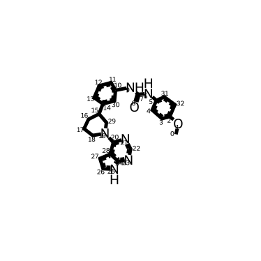 COc1ccc(NC(=O)Nc2cccc(C3CCCN(c4ncnc5[nH]ccc45)C3)c2)cc1